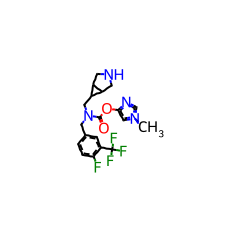 Cn1cnc(OC(=O)N(Cc2ccc(F)c(C(F)(F)F)c2)CC2C3CNCC32)c1